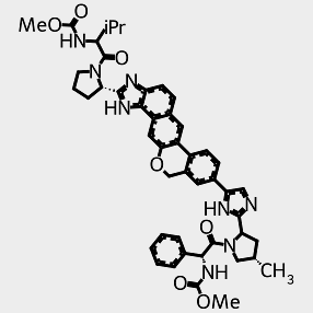 COC(=O)NC(C(=O)N1CCC[C@H]1c1nc2ccc3cc4c(cc3c2[nH]1)OCc1cc(-c2cnc(C3C[C@H](C)CN3C(=O)[C@H](NC(=O)OC)c3ccccc3)[nH]2)ccc1-4)C(C)C